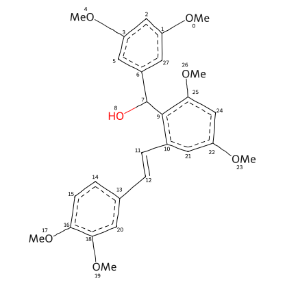 COc1cc(OC)cc(C(O)c2c(/C=C/c3ccc(OC)c(OC)c3)cc(OC)cc2OC)c1